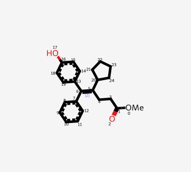 COC(=O)CC/C(=C(\c1ccccc1)c1ccc(O)cc1)C1CCCC1